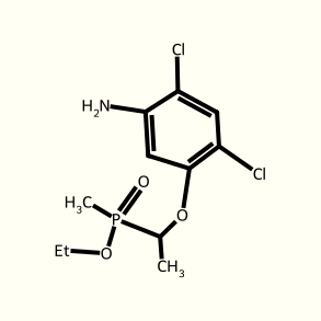 CCOP(C)(=O)C(C)Oc1cc(N)c(Cl)cc1Cl